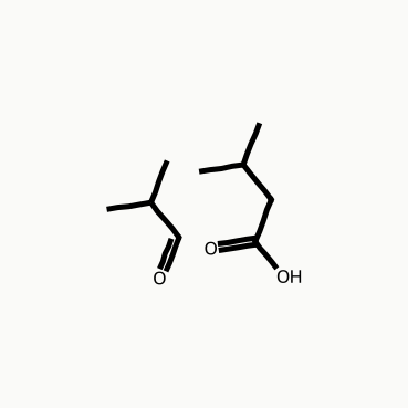 CC(C)C=O.CC(C)CC(=O)O